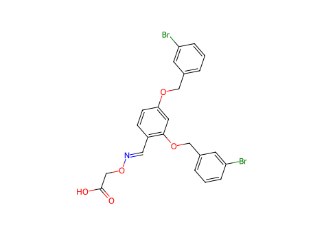 O=C(O)CO/N=C/c1ccc(OCc2cccc(Br)c2)cc1OCc1cccc(Br)c1